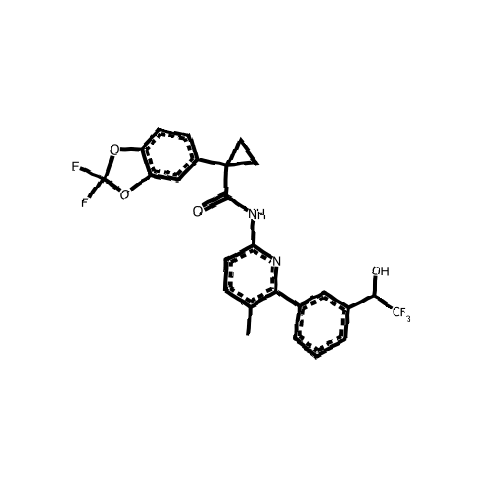 Cc1ccc(NC(=O)C2(c3ccc4c(c3)OC(F)(F)O4)CC2)nc1-c1cccc(C(O)C(F)(F)F)c1